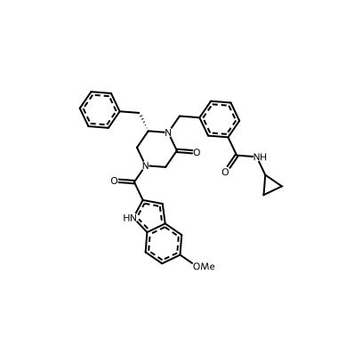 COc1ccc2[nH]c(C(=O)N3CC(=O)N(Cc4cccc(C(=O)NC5CC5)c4)[C@@H](Cc4ccccc4)C3)cc2c1